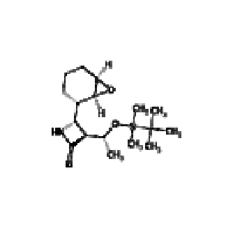 C[C@@H](O[Si](C)(C)C(C)(C)C)[C@H]1C(=O)N[C@@H]1[C@@H]1CCC[C@H]2O[C@@H]12